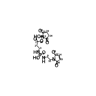 O=C(CCNP(=O)(O)NCCN1C(=O)C=CC1=O)O[N+]1(O)C(=O)CCC1=O